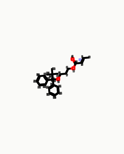 C/C=C/C(=O)OCCCO[Si](c1ccccc1)(c1ccccc1)C(C)(C)C